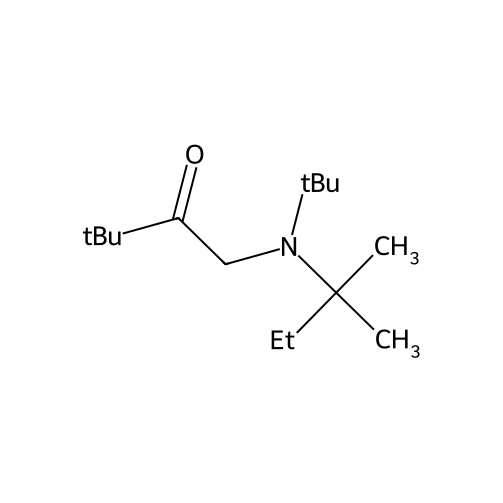 CCC(C)(C)N(CC(=O)C(C)(C)C)C(C)(C)C